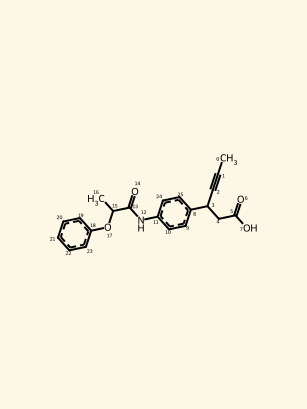 CC#CC(CC(=O)O)c1ccc(NC(=O)C(C)Oc2ccccc2)cc1